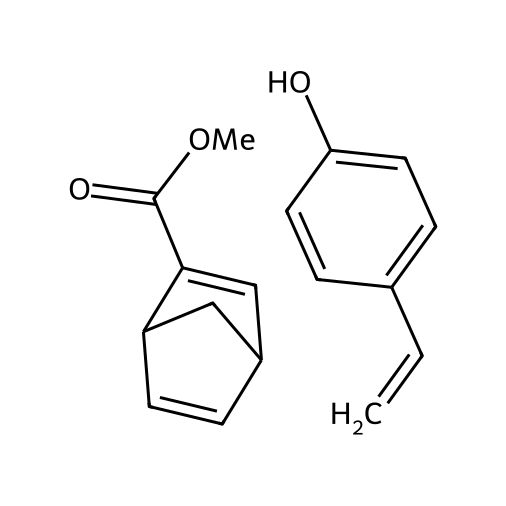 C=Cc1ccc(O)cc1.COC(=O)C1=CC2C=CC1C2